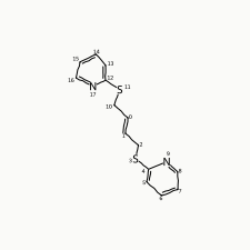 C(=C\CSc1ccccn1)/CSc1ccccn1